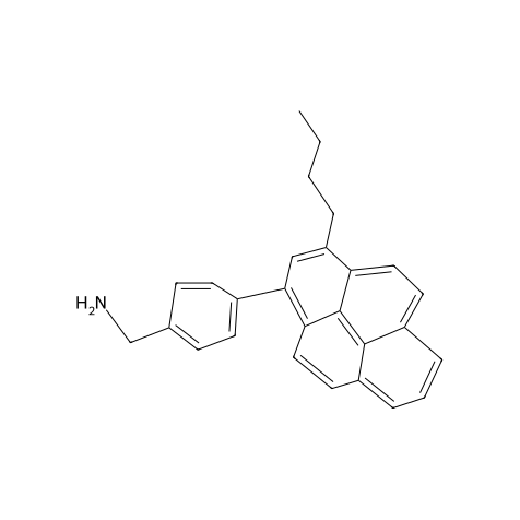 CCCCc1cc(-c2ccc(CN)cc2)c2ccc3cccc4ccc1c2c43